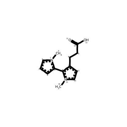 Cn1cccc1-c1c(CCC(=O)O)ccn1C